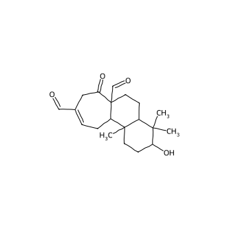 CC1(C)C(O)CCC2(C)C3CC=C(C=O)CC(=O)C3(C=O)CCC12